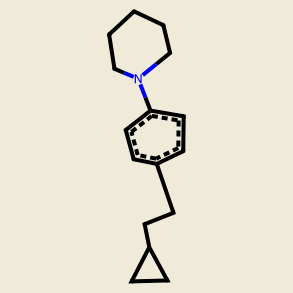 c1cc(N2CCCCC2)ccc1CCC1CC1